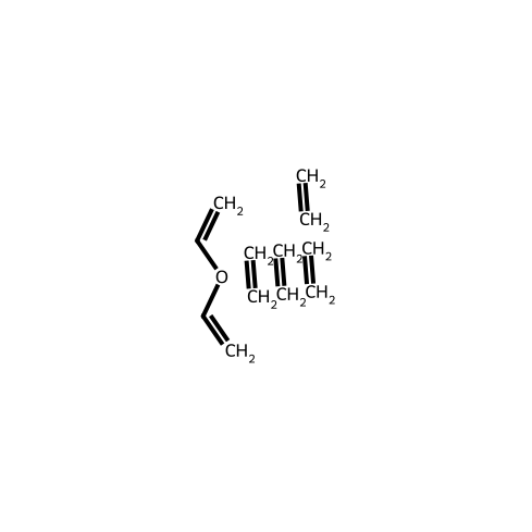 C=C.C=C.C=C.C=C.C=COC=C